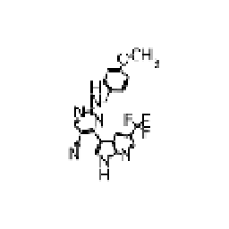 COc1ccc(CNc2ncc(C#N)c(-c3c[nH]c4ncc(C(F)(F)F)cc34)n2)cc1